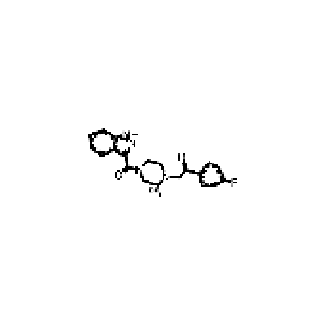 C[C@H]1CN(C(=O)c2n[nH]c3ccccc23)CCN1CC(=O)c1ccc(F)cc1